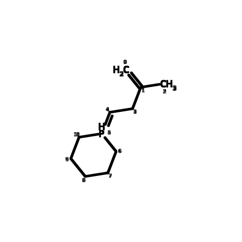 C=C(C)CC=[PH]1CCCCC1